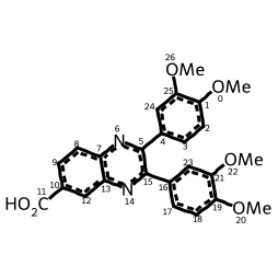 COc1ccc(-c2nc3ccc(C(=O)O)cc3nc2-c2ccc(OC)c(OC)c2)cc1OC